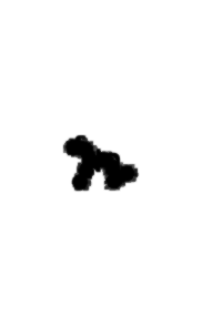 c1ccc(-c2ccc(-c3nc(-c4ccc5oc6cc7c(cc6c5c4)c4ccccc4n7-c4ccccc4)nc(-c4ccc5sc6ccccc6c5c4)n3)cc2)cc1